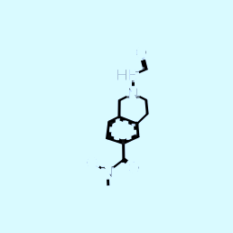 CON(C)C(=O)c1ccc2c(c1)CCN(BC=O)C2